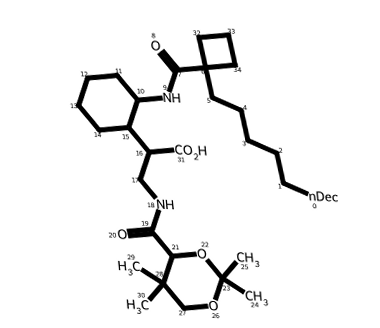 CCCCCCCCCCCCCCCC1(C(=O)NC2CCCCC2C(CNC(=O)C2OC(C)(C)OCC2(C)C)C(=O)O)CCC1